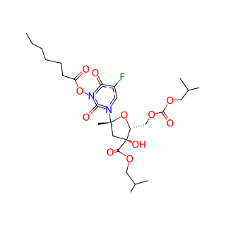 CCCCCCC(=O)On1c(=O)c(F)cn([C@@]2(C)C[C@@](O)(C(=O)OCC(C)C)[C@@H](COC(=O)OCC(C)C)O2)c1=O